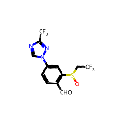 O=Cc1ccc(-n2cnc(C(F)(F)F)n2)cc1[S+]([O-])CC(F)(F)F